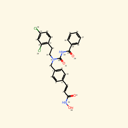 O=C(/C=C/c1ccc(CN(CCc2ccc(Cl)cc2Cl)C(=O)NC(=O)c2ccccc2)cc1)NO